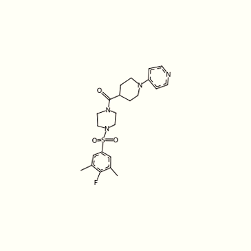 Cc1cc(S(=O)(=O)N2CCN(C(=O)C3CCN(c4ccncc4)CC3)CC2)cc(C)c1F